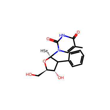 Cc1cn([C@]2([SeH])O[C@H](CO)[C@@H](O)C2c2ccccc2)c(=O)[nH]c1=O